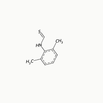 Cc1cccc(C)c1NC=S